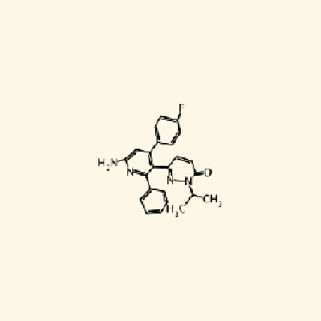 CC(C)n1nc(-c2c(-c3ccc(F)cc3)cc(N)nc2-c2ccccc2)ccc1=O